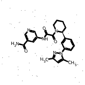 Cc1cc(C)n(-c2cccc([C@@H]3CCCCN3C(=O)C(=O)Nc3cncc(C(N)=O)c3)c2)n1